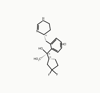 Cl.O=C(O)[C@](O)(c1ccccc1C[C@H]1CCNC=N1)[C@@H]1CCC(F)(F)C1